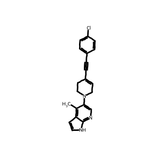 Cc1c(N2CC=C(C#Cc3ccc(Cl)cc3)CC2)cnc2[nH]ccc12